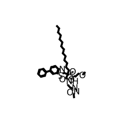 CCCCCCCCCCCCCCC(C(=O)NCc1nnc(C)o1)(c1nc2ccc(-c3ccccc3)cc2s1)S(=O)(=O)CCOC